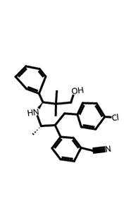 C[C@H](N[C@@H](c1ccccc1)C(C)(C)CO)C(Cc1ccc(Cl)cc1)c1cccc(C#N)c1